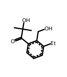 CCc1cccc(C(=O)C(C)(C)O)c1CO